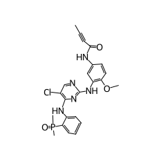 CC#CC(=O)Nc1ccc(OC)c(Nc2ncc(Cl)c(Nc3ccccc3P(C)(C)=O)n2)c1